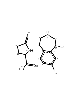 C[C@H]1CNCCc2ccc(Cl)cc21.O=C1CCC(C(=O)O)N1